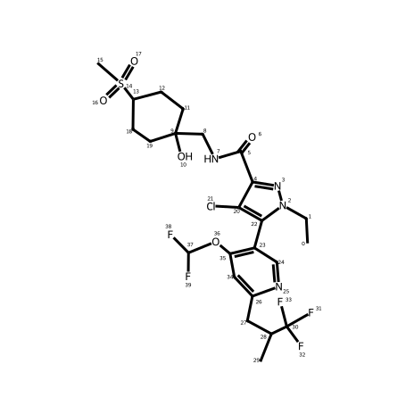 CCn1nc(C(=O)NCC2(O)CCC(S(C)(=O)=O)CC2)c(Cl)c1-c1cnc(CC(C)C(F)(F)F)cc1OC(F)F